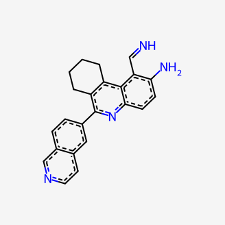 N=Cc1c(N)ccc2nc(-c3ccc4cnccc4c3)c3c(c12)CCCC3